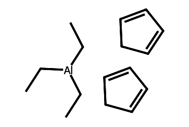 C1=CCC=C1.C1=CCC=C1.C[CH2][Al]([CH2]C)[CH2]C